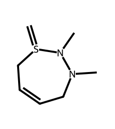 C=S1CC=CCN(C)N1C